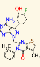 Cc1ccccc1-n1c(Cn2nc(C3=CCC(F)C(O)=C3)c3c(N)ncnc32)nc2scc(C)c2c1=O